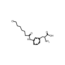 NC(Cc1cccc(NC(=O)CCCCCCCl)c1)C(=O)O